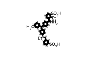 CCc1c(C(N)=c2ccc(=C(c3ccccc3)c3ccc(N(CC)Cc4cccc(S(=O)(=O)O)c4)cc3)cc2)cccc1S(=O)(=O)O.O